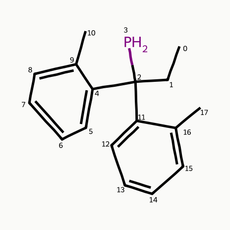 CCC(P)(c1ccccc1C)c1ccccc1C